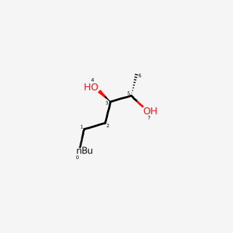 CCCCCC[C@@H](O)[C@H](C)O